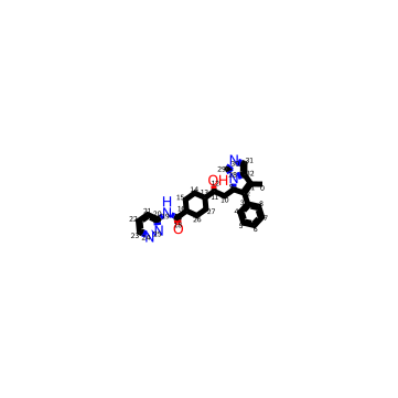 CC1=C(c2ccccc2)C(CC(O)C2CCC(C(=O)Nc3cccnn3)CC2)n2cncc21